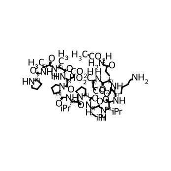 CC(=O)O.CC(C)C[C@H](NC(=O)[C@@H]1CCCN1C(=O)[C@@H](NC(=O)[C@@H]1CCCN1C(=O)[C@H](CC(=O)O)NC(=O)[C@H](C)NC(=O)[C@H](C)NC(=O)[C@@H]1CCCN1)C(C)C)C(=O)N[C@H](C(=O)N[C@@H](CCCCN)C(=O)N[C@@H](CCC(N)=O)C(=O)N[C@@H](CC(=O)O)C(=O)O)C(C)C